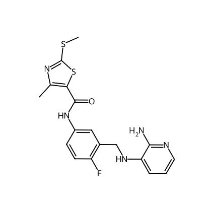 CSc1nc(C)c(C(=O)Nc2ccc(F)c(CNc3cccnc3N)c2)s1